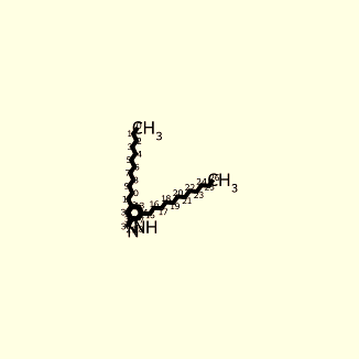 CCCCCCCCCCCCc1cc(CCCCCCCCCCCC)c2[nH]ncc2c1